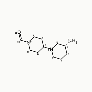 C[C@@H]1CCCN(C2CCN(C=O)CC2)C1